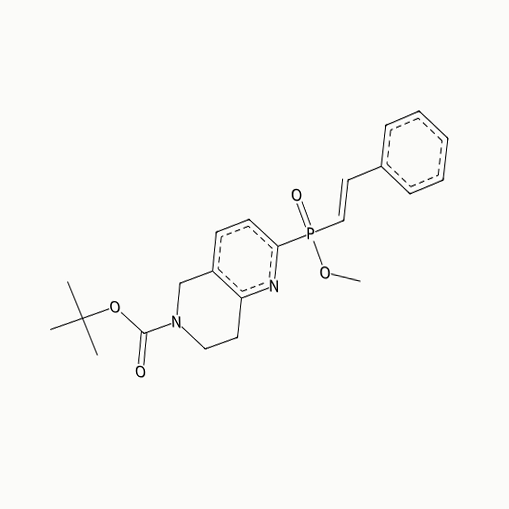 COP(=O)(C=Cc1ccccc1)c1ccc2c(n1)CCN(C(=O)OC(C)(C)C)C2